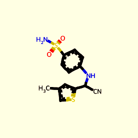 Cc1csc(C(C#N)Nc2ccc(S(N)(=O)=O)cc2)c1